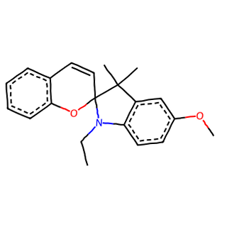 CCN1c2ccc(OC)cc2C(C)(C)C12C=Cc1ccccc1O2